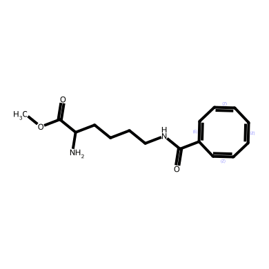 COC(=O)C(N)CCCCNC(=O)C1=C/C=C\C=C/C=C\1